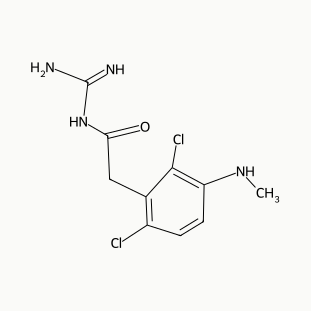 CNc1ccc(Cl)c(CC(=O)NC(=N)N)c1Cl